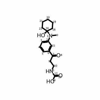 CN(c1cccc(C(=O)CCNC(=O)O)c1)C1(O)CCCCC1